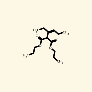 CCC=C(CC)C(C(=O)OCCC)C(=O)OCCC